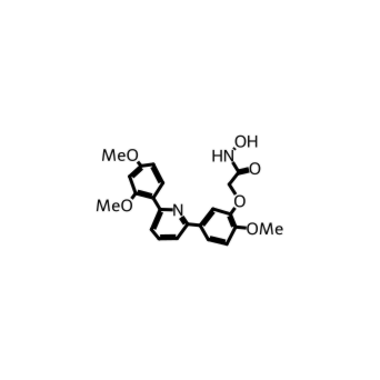 COc1ccc(-c2cccc(-c3ccc(OC)c(OCC(=O)NO)c3)n2)c(OC)c1